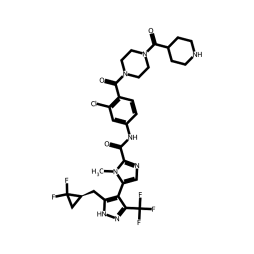 Cn1c(-c2c(C(F)(F)F)n[nH]c2C[C@H]2CC2(F)F)cnc1C(=O)Nc1ccc(C(=O)N2CCN(C(=O)C3CCNCC3)CC2)c(Cl)c1